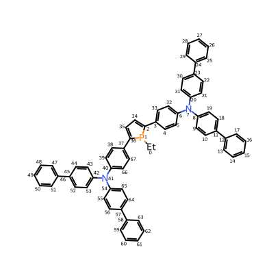 CCp1c(-c2ccc(N(c3ccc(-c4ccccc4)cc3)c3ccc(-c4ccccc4)cc3)cc2)ccc1-c1ccc(N(c2ccc(-c3ccccc3)cc2)c2ccc(-c3ccccc3)cc2)cc1